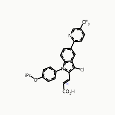 CC(C)Oc1ccc(-n2c(/C=C/C(=O)O)c(Cl)c3cc(-c4ccc(C(F)(F)F)cn4)ccc32)cc1